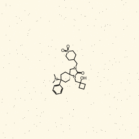 CN(C)[C@]1(c2ccccc2)CC[C@]2(CC1)CN(CC1CCS(=O)(=O)CC1)C(=O)N2CC1(O)CCC1